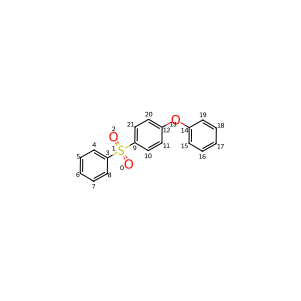 O=S(=O)(c1ccccc1)c1ccc(Oc2ccccc2)cc1